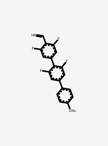 CC(=O)Oc1ccc(-c2cc(F)c(-c3cc(F)c(C=N)c(F)c3)c(F)c2)cc1